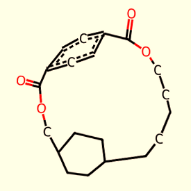 O=C1OCCCCCC2CCC(CC2)COC(=O)c2ccc1cc2